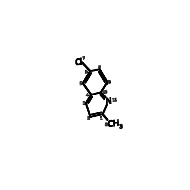 Cc1ccc2cc(Cl)c[c]c2n1